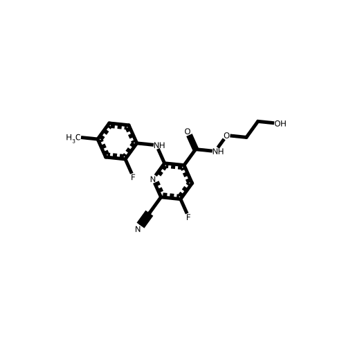 Cc1ccc(Nc2nc(C#N)c(F)cc2C(=O)NOCCO)c(F)c1